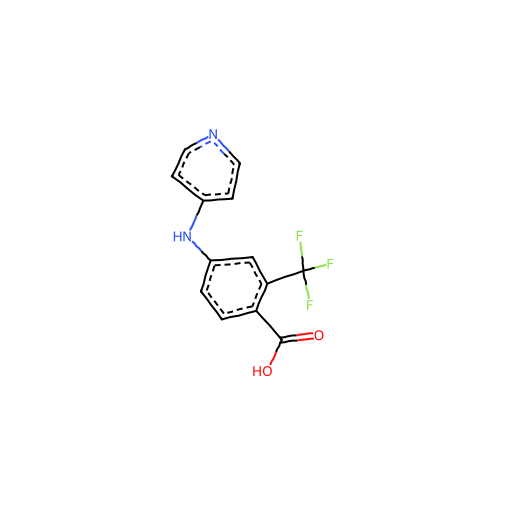 O=C(O)c1ccc(Nc2ccncc2)cc1C(F)(F)F